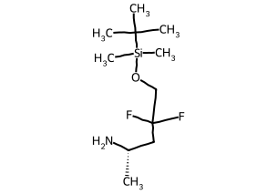 C[C@H](N)CC(F)(F)CO[Si](C)(C)C(C)(C)C